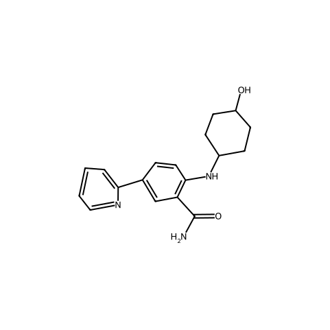 NC(=O)c1cc(-c2ccccn2)ccc1NC1CCC(O)CC1